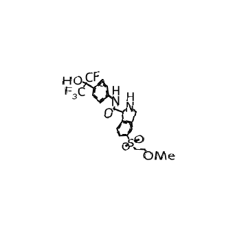 COCCS(=O)(=O)c1ccc2c(c1)CNC2C(=O)Nc1ccc(C(O)(C(F)(F)F)C(F)(F)F)cc1